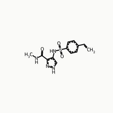 C=Cc1ccc(S(=O)(=O)Nc2c[nH]nc2C(=O)NC)cc1